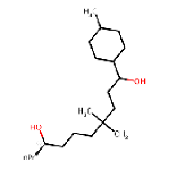 CCC[C@@H](O)CCCC(C)(C)CCC(O)C1CCC(C)CC1